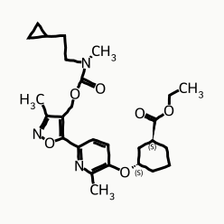 CCOC(=O)[C@H]1CCC[C@H](Oc2ccc(-c3onc(C)c3COC(=O)N(C)CCC3CC3)nc2C)C1